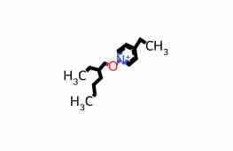 CCCCC(CC)CO[n+]1ccc(CC)cc1